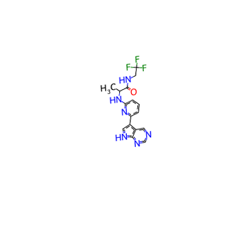 CC(Nc1cccc(-c2c[nH]c3ncncc23)n1)C(=O)NCC(F)(F)F